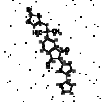 CC(C)(Cc1csc(=S)s1)c1ccc2c(c1)C(=O)C(c1ccc(-c3cccs3)s1)C2=O